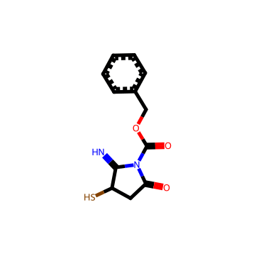 N=C1C(S)CC(=O)N1C(=O)OCc1ccccc1